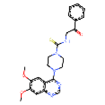 COc1cc2ncnc(N3CCN(C(=S)NCC(=O)c4ccccc4)CC3)c2cc1OC